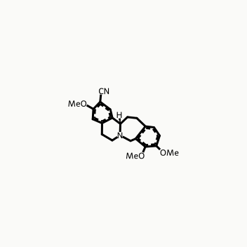 COc1cc2c(cc1C#N)[C@@H]1CCc3ccc(OC)c(OC)c3CN1CC2